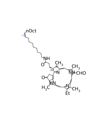 CCCCCCCC/C=C\CCCCCCCCNC(=O)CC[C@@H]1c2nc(cc3[nH]c(cc4nc(cc5[nH]c6c2CC(=O)c6c5C)C(CC)=C4C)c(C=O)c3C)[C@H]1C